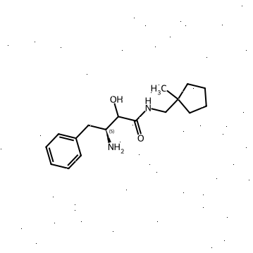 CC1(CNC(=O)C(O)[C@@H](N)Cc2ccccc2)CCCC1